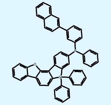 c1ccc(N(c2cccc(-c3ccc4ccccc4c3)c2)c2ccc3c(c2)[Si](c2ccccc2)(c2ccccc2)c2ccc4c(oc5ccccc54)c2-3)cc1